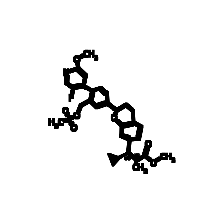 COC(=O)[C@@H](C)[C@H](c1ccc2c(c1)OC(c1ccc(-c3cc(OC)ncc3F)c(COS(C)(=O)=O)c1)CC2)C1CC1